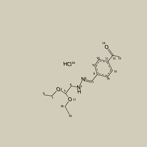 CCOC(CNN=Cc1ccc(C(C)=O)cc1)OCC.Cl